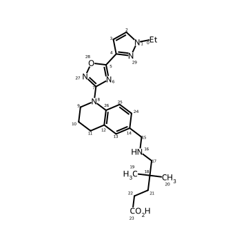 CCn1ccc(-c2nc(N3CCCc4cc(CNCC(C)(C)CCC(=O)O)ccc43)no2)n1